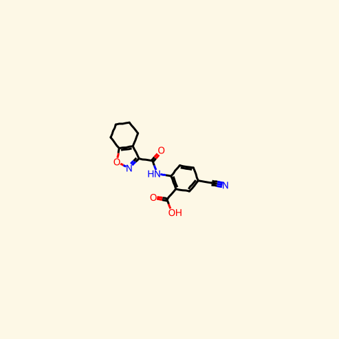 N#Cc1ccc(NC(=O)c2noc3c2CCCC3)c(C(=O)O)c1